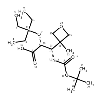 CC[Si](CC)(CC)O[C@@H](C(=O)O)[C@@H](NC(=O)OC(C)(C)C)C1(C)COC1